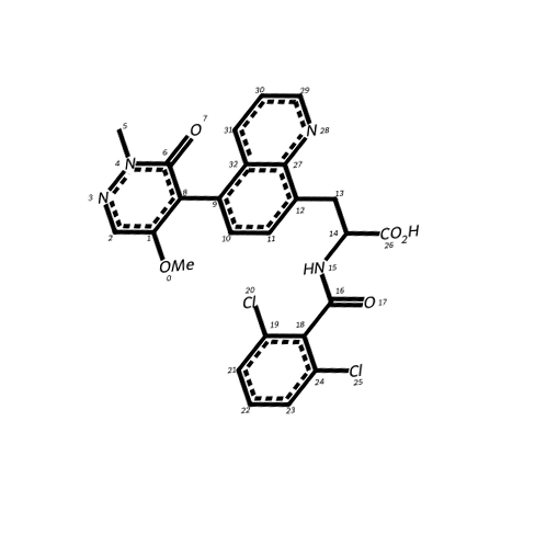 COc1cnn(C)c(=O)c1-c1ccc(CC(NC(=O)c2c(Cl)cccc2Cl)C(=O)O)c2ncccc12